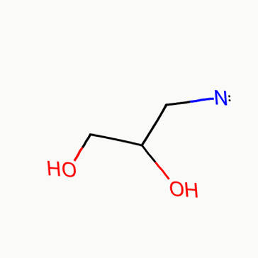 [N]CC(O)CO